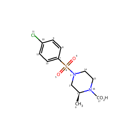 C[C@H]1CN(S(=O)(=O)c2ccc(Cl)cc2)CCN1C(=O)O